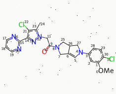 COc1cc(N2C=C3CN(C(=O)Cn4nc(-c5ncccn5)c(Cl)c4C)CC3C2)ccc1Cl